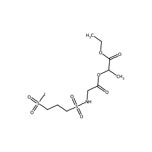 CCOC(=O)C(C)OC(=O)CNS(=O)(=O)CCCS(=O)(=O)I